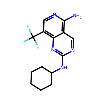 Nc1ncc(C(F)(F)F)c2nc(NC3CCCCC3)ncc12